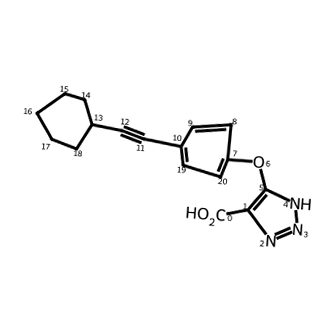 O=C(O)c1nn[nH]c1Oc1ccc(C#CC2CCCCC2)cc1